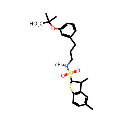 CCCN(CCCc1cccc(OC(C)(C)C(=O)O)c1)S(=O)(=O)C1Sc2ccc(C)cc2C1C